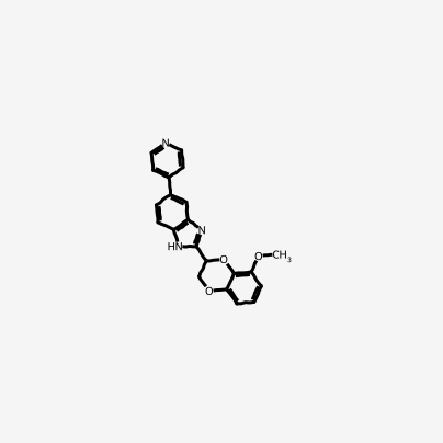 COc1cccc2c1OC(c1nc3cc(-c4ccncc4)ccc3[nH]1)CO2